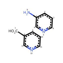 Nc1cccnc1.O=C(O)c1cccnc1